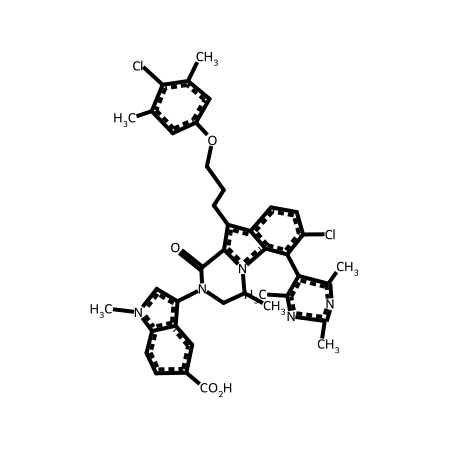 Cc1nc(C)c(-c2c(Cl)ccc3c(CCCOc4cc(C)c(Cl)c(C)c4)c4n(c23)C(C)CN(c2cn(C)c3ccc(C(=O)O)cc23)C4=O)c(C)n1